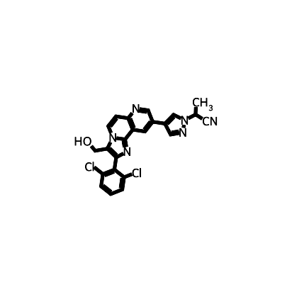 CC(C#N)n1cc(-c2cnc3ccn4c(CO)c(-c5c(Cl)cccc5Cl)nc4c3c2)cn1